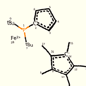 CC(C)(C)P([c-]1cccc1)C(C)(C)C.Cc1c(C)c(C)[c-](C)c1C.[Fe+2]